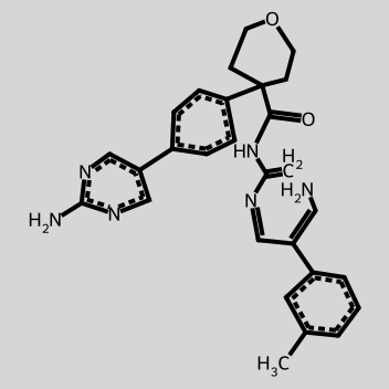 C=C(/N=C\C(=C/N)c1cccc(C)c1)NC(=O)C1(c2ccc(-c3cnc(N)nc3)cc2)CCOCC1